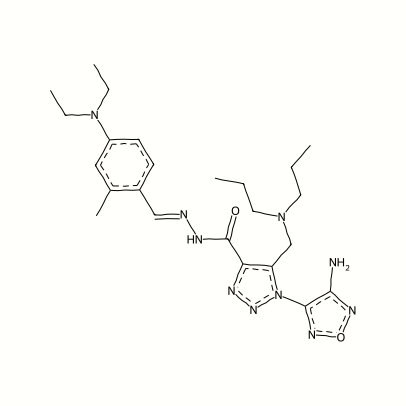 CCCN(CCC)Cc1c(C(=O)N/N=C/c2ccc(N(CC)CC)cc2C)nnn1-c1nonc1N